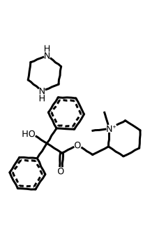 C1CNCCN1.C[N+]1(C)CCCCC1COC(=O)C(O)(c1ccccc1)c1ccccc1